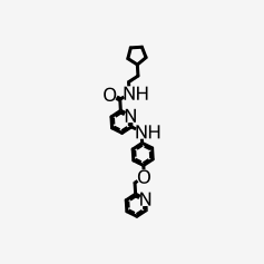 O=C(NCCC1CCCC1)c1cccc(Nc2ccc(OCc3ccccn3)cc2)n1